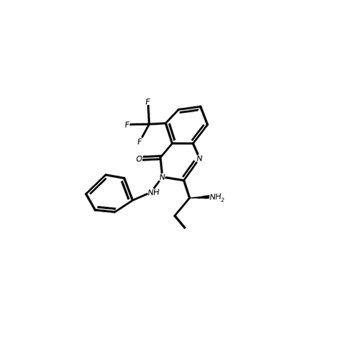 CC[C@H](N)c1nc2cccc(C(F)(F)F)c2c(=O)n1Nc1ccccc1